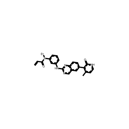 C=CC(=O)N(CC)c1cccc(Nc2ncc3cc(-c4c(C)cc[nH]c4=O)ccc3n2)c1